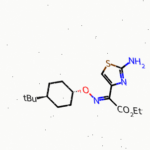 CCOC(=O)C(=NO[C@H]1CC[C@H](C(C)(C)C)CC1)c1csc(N)n1